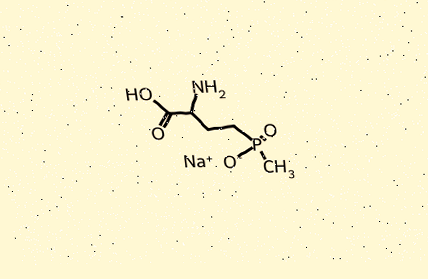 CP(=O)([O-])CCC(N)C(=O)O.[Na+]